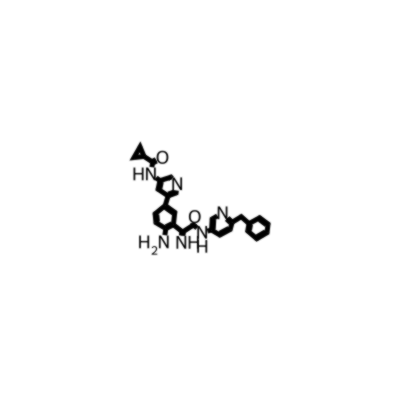 N=C(C(=O)Nc1ccc(Cc2ccccc2)nc1)c1cc(-c2cncc(NC(=O)C3CC3)c2)ccc1N